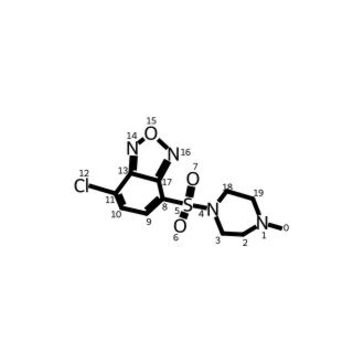 CN1CCN(S(=O)(=O)c2ccc(Cl)c3nonc23)CC1